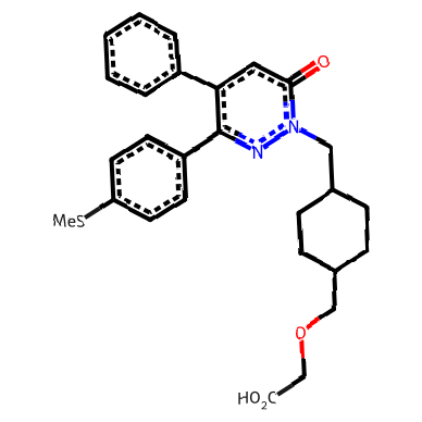 CSc1ccc(-c2nn(CC3CCC(COCC(=O)O)CC3)c(=O)cc2-c2ccccc2)cc1